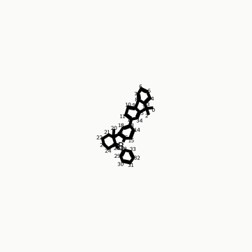 CC1(C)c2ccccc2-c2ccc(-c3ccc4c(c3)C3(C)CCCCC3(C)B4c3ccccc3)cc21